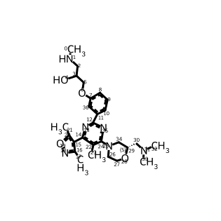 CNCC(O)COc1cccc(-c2nc(-c3c(C)noc3C)c(C)c(N3CCO[C@@H](CN(C)C)C3)n2)c1